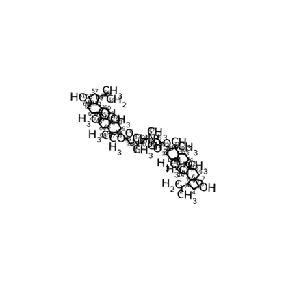 C=C(C)[C@@H]1CC[C@@]2(CO)CC[C@]3(C)C(CCC4[C@@]5(C)CC[C@H](OC(=O)C[N+](C)(C)CC[N+](C)(C)CC(=O)O[C@H]6CC[C@@]7(C)C(CC[C@]8(C)C7CCC7C9[C@H](C(=C)C)CC[C@@]9(CO)CC[C@]78C)C6(C)C)C(C)(C)C5CC[C@]43C)C12